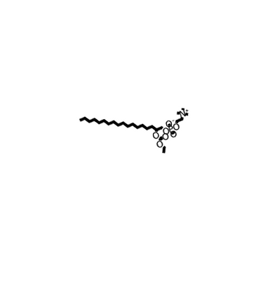 CCCCCCCCCCCCCCCCC(COP(=O)([O-])OCC[N+](C)(C)C)OC(=O)OCC